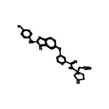 COC[C@@]1(NC(=O)c2cc(Oc3ccc4nc(Nc5ccc(Br)cc5)[nH]c4c3)ccn2)CCNC1